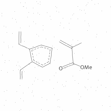 C=C(C)C(=O)OC.C=Cc1ccccc1C=C